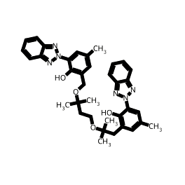 Cc1cc(COC(C)(C)CCOC(C)(C)Cc2cc(C)cc(-n3nc4ccccc4n3)c2O)c(O)c(-n2nc3ccccc3n2)c1